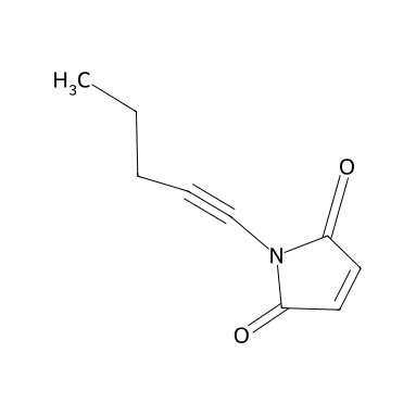 CCCC#CN1C(=O)C=CC1=O